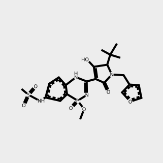 COP1(=O)N=C(C2=C(O)C(C(C)(C)C)N(Cc3ccoc3)C2=O)Nc2ccc(NS(C)(=O)=O)cc21